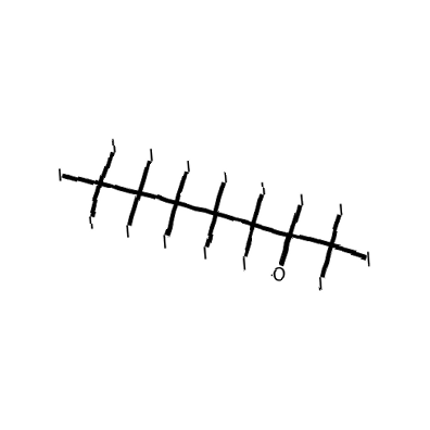 [O]C(I)(C(I)(I)I)C(I)(I)C(I)(I)C(I)(I)C(I)(I)C(I)(I)I